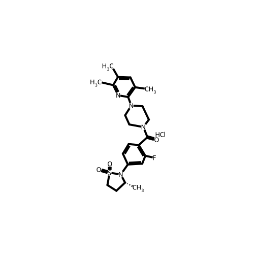 Cc1cc(C)c(N2CCN(C(=O)c3ccc(N4[C@H](C)CCS4(=O)=O)cc3F)CC2)nc1C.Cl